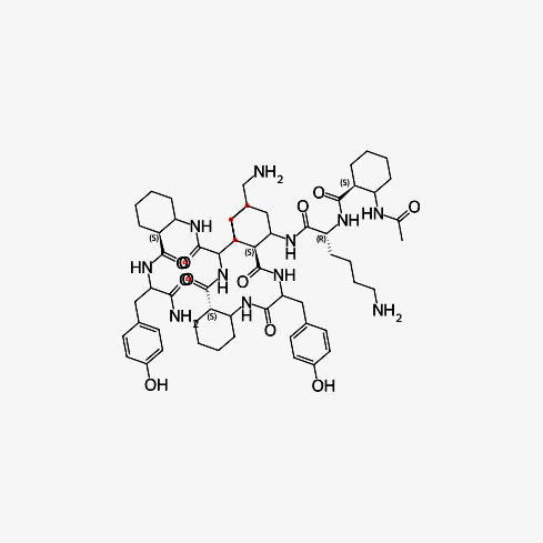 CC(=O)NC1CCCC[C@@H]1C(=O)N[C@H](CCCCN)C(=O)NC1CCCC[C@@H]1C(=O)NC(Cc1ccc(O)cc1)C(=O)NC1CCCC[C@@H]1C(=O)NC(CCCCN)C(=O)NC1CCCC[C@@H]1C(=O)NC(Cc1ccc(O)cc1)C(N)=O